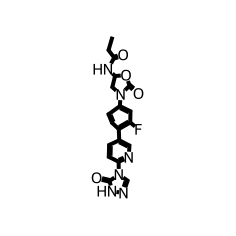 CCC(=O)NC1CN(c2ccc(-c3ccc(-n4cn[nH]c4=O)nc3)c(F)c2)C(=O)O1